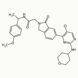 COc1ccc(C(C)NC(=O)CN2Cc3ccc(-c4nc(NC5CCOCC5)ncc4Cl)cc3C2=O)cc1